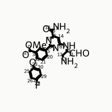 COC(=O)c1cc(-c2nc(N[C@H](C=O)CN)cc(C(N)=O)n2)ccc1Oc1ccc(F)cc1